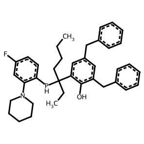 CCCCC(CC)(Pc1ccc(F)cc1N1CCCCC1)c1cc(Cc2ccccc2)cc(Cc2ccccc2)c1O